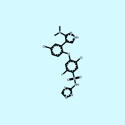 CN(C)c1n[nH]cc1-c1cc(Cl)ccc1Oc1cc(F)c(S(=O)(=O)Nc2nncs2)cc1Cl